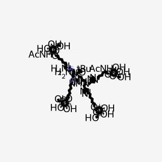 CC(=O)N[C@H]1[C@H](OCCCCCN(N)/C=C(\N)CN(C/C(=C/NCCCCCO[C@@H]2O[C@H](CO)[C@H](O)[C@H](O)[C@H]2C)N=N)[C@H](CCCCN(Cc2cn(CCCCCO[C@@H]3O[C@H](CO)[C@H](O)[C@H](O)[C@H]3C)nn2)Cc2cn(CCCCCO[C@@H]3O[C@H](CO)[C@H](O)[C@H](O)[C@H]3NC(C)=O)nn2)C(=O)C(C)(C)C)O[C@H](CO)[C@H](O)[C@@H]1O